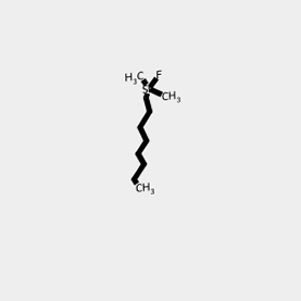 CCCCCCCC[Si](C)(C)F